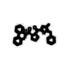 Cc1cc(C(=O)N2CCC[C@H]2C(=O)Nc2ccccc2-c2ccccc2F)nn1Cc1ccccc1